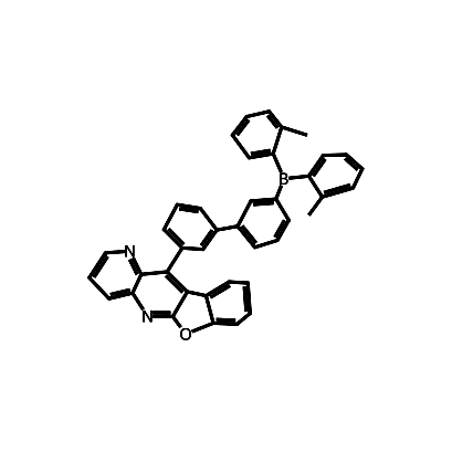 Cc1ccccc1B(c1cccc(-c2cccc(-c3c4ncccc4nc4oc5ccccc5c34)c2)c1)c1ccccc1C